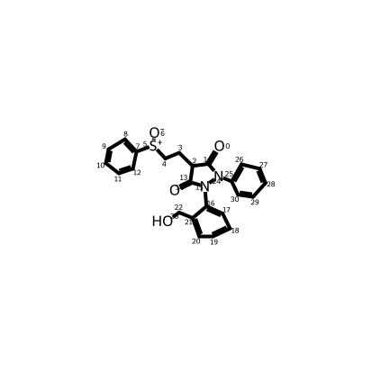 O=C1C(CC[S+]([O-])c2ccccc2)C(=O)N(c2ccccc2CO)N1c1ccccc1